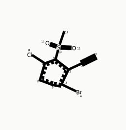 C#Cc1c(Br)ccc(Cl)c1S(C)(=O)=O